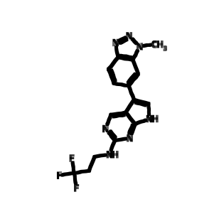 Cn1nnc2ccc(-c3c[nH]c4nc(NCCC(F)(F)F)ncc34)cc21